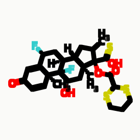 CC1C[C@H]2[C@@H]3C[C@H](F)C4=CC(=O)C=C[C@]4(C)[C@@]3(F)[C@@H](O)C[C@]2(C)[C@@]1(OC(=O)C1SCCCS1)C(O)=S